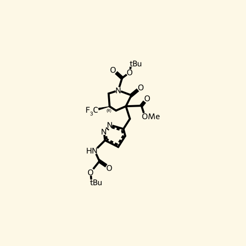 COC(=O)C1(Cc2ccc(NC(=O)OC(C)(C)C)nn2)C[C@@H](C(F)(F)F)CN(C(=O)OC(C)(C)C)C1=O